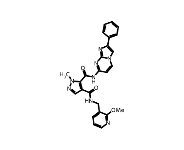 COc1ncccc1CNC(=O)c1cnn(C)c1C(=O)Nc1ccn2cc(-c3ccccc3)nc2n1